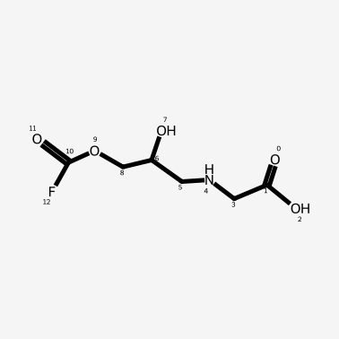 O=C(O)CNCC(O)COC(=O)F